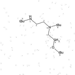 CC(C)(C)NCCN(C[SiH2]OC(C)(C)C)C(C)(C)C